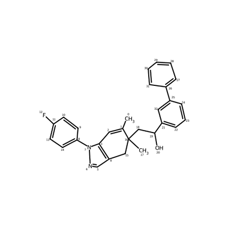 CC1=Cc2c(cnn2-c2ccc(F)cc2)CC1(C)CC(O)c1cccc(-c2ccccc2)c1